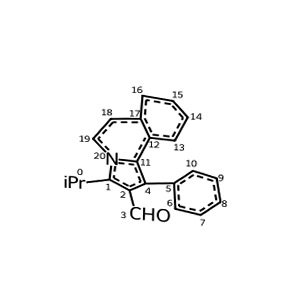 CC(C)c1c(C=O)c(-c2ccccc2)c2c3ccccc3ccn12